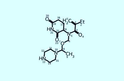 C=C(CC)C(=O)N(COC(C)N1CCNCC1)C1CCC(=O)NC1=O